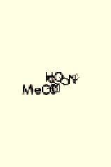 COC(=O)c1ccccc1C(=O)c1ccc(N2CCCC2)cc1O